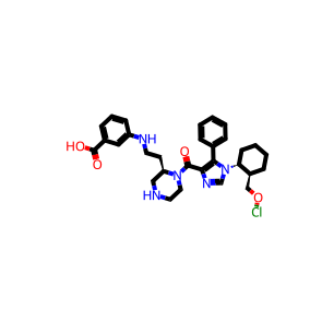 O=C(O)c1cccc(NCC[C@@H]2CNCCN2C(=O)c2ncn([C@@H]3CCCC[C@H]3COCl)c2-c2ccccc2)c1